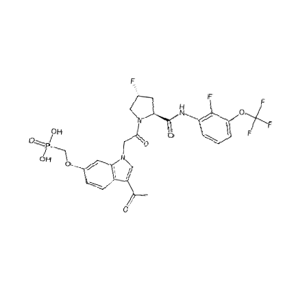 CC(=O)c1cn(CC(=O)N2C[C@H](F)C[C@H]2C(=O)Nc2cccc(OC(F)(F)F)c2F)c2cc(OCP(=O)(O)O)ccc12